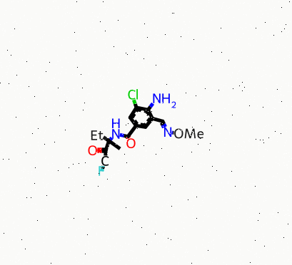 CCC(C)(NC(=O)c1cc(Cl)c(N)c(C=NOC)c1)C(=O)CF